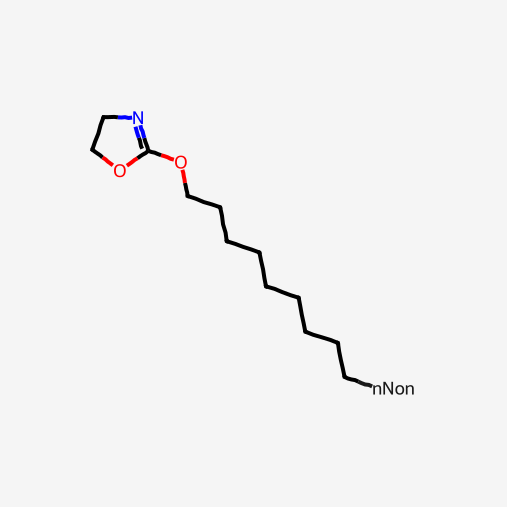 CCCCCCCCCCCCCCCCCCOC1=NCCO1